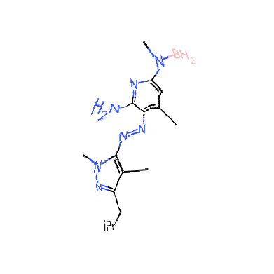 BN(C)c1cc(C)c(N=Nc2c(C)c(CC(C)C)nn2C)c(N)n1